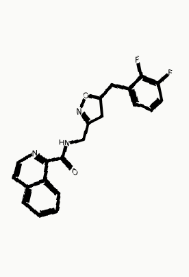 O=C(NCC1=NOC(Cc2cccc(F)c2F)C1)c1nccc2ccccc12